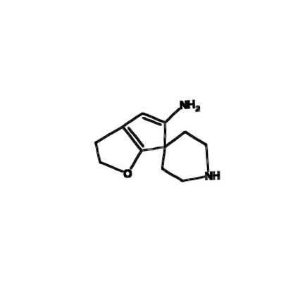 NC1=CC2=C(OCC2)C12CCNCC2